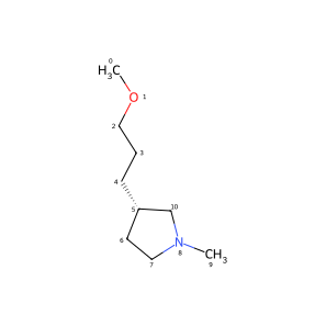 COCCC[C@H]1CCN(C)C1